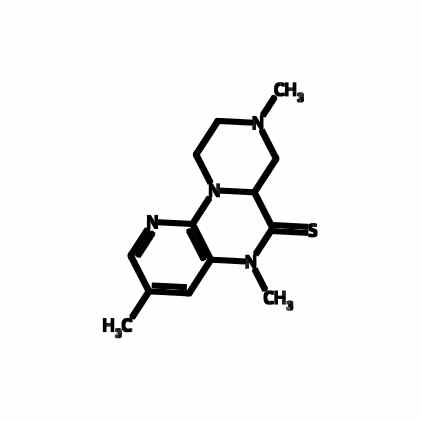 Cc1cnc2c(c1)N(C)C(=S)C1CN(C)CCN21